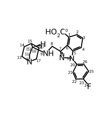 O=C(O)c1cccc2c1c(CN[C@@H]1CN3CCC1CC3)nn2-c1ccc(F)cc1